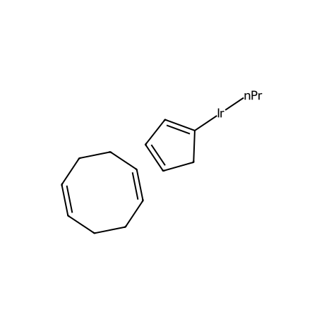 C1=C\CC/C=C\CC/1.CC[CH2][Ir][C]1=CC=CC1